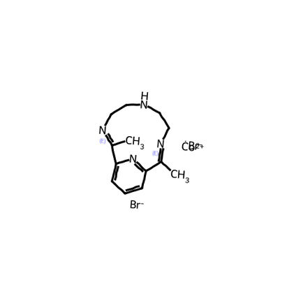 C/C1=N\CCNCC/N=C(\C)c2cccc1n2.[Br-].[Br-].[Co+2]